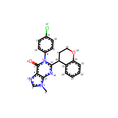 Cn1cnc2c(=O)n(-c3ccc(Cl)cc3)c(C3CCOc4ccccc43)nc21